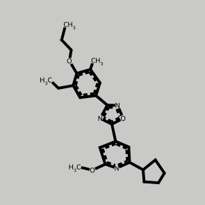 C[CH]COc1c(C)cc(-c2noc(-c3cc(OC)nc(C4CCCC4)c3)n2)cc1CC